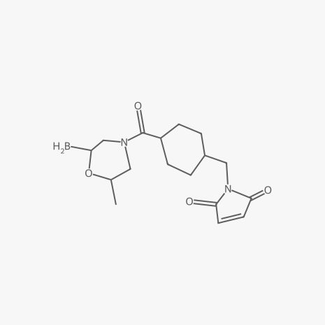 BC1CN(C(=O)C2CCC(CN3C(=O)C=CC3=O)CC2)CC(C)O1